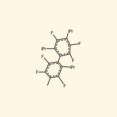 Cc1c(F)c(F)c(-c2c(F)c(F)c(C(C)C)c(F)c2C(C)C)c(C(C)C)c1F